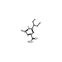 CCC(CC)c1cc(C(=O)O)cc(C)n1